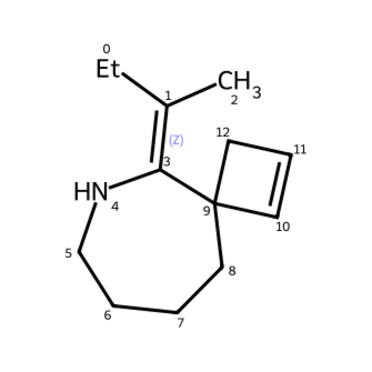 CC/C(C)=C1\NCCCCC12C=CC2